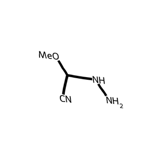 COC(C#N)NN